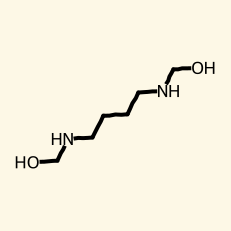 OCNCCCCNCO